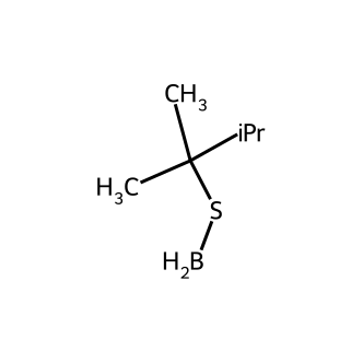 BSC(C)(C)C(C)C